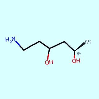 CC(C)[C@@H](O)CC(O)CCN